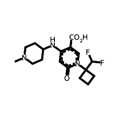 CN1CCC(Nc2cc(=O)n(C3(C(F)F)CCC3)cc2C(=O)O)CC1